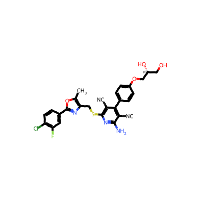 [C-]#[N+]c1c(N)nc(SCc2nc(-c3ccc(Cl)c(F)c3)oc2C)c(C#N)c1-c1ccc(OC[C@H](O)CO)cc1